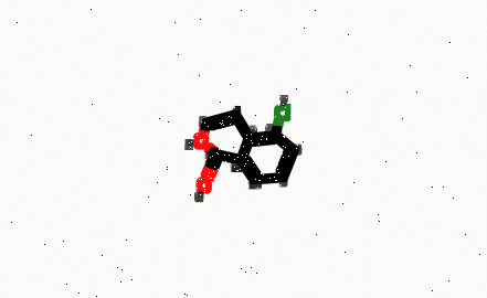 O=c1o[c]cc2c(Cl)cccc12